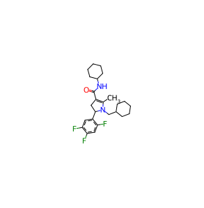 CC1=C(C(=O)NC2CCCCC2)CC(c2cc(F)c(F)cc2F)N1CC1CCCCC1